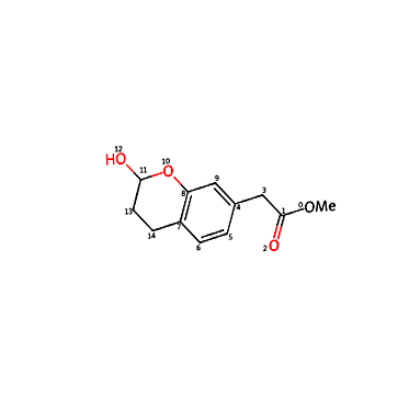 COC(=O)Cc1ccc2c(c1)OC(O)CC2